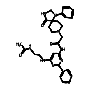 CC(=O)NCCNc1cc(NC(=O)CN2CCC3(CC2)C(=O)NCN3c2ccccc2)nc(-c2ccccc2)n1